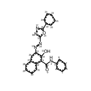 O=C(Nc1ccccc1)c1c(O)c(/N=N/c2nnc(-c3ccccc3)o2)cc2ccccc12